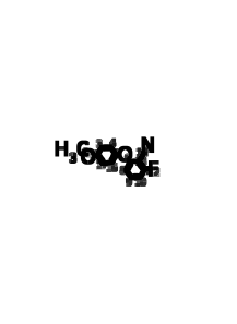 COc1ccc(Oc2cccc(F)c2C#N)cc1